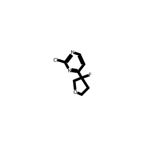 FC1(c2ccnc(Cl)n2)CCOC1